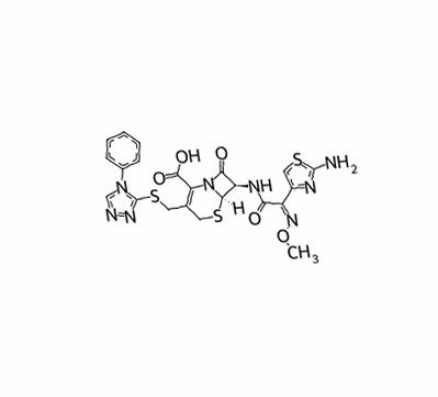 CO/N=C(\C(=O)N[C@@H]1C(=O)N2C(C(=O)O)=C(CSc3nncn3-c3ccccc3)CS[C@H]12)c1csc(N)n1